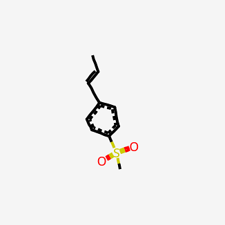 CC=Cc1ccc(S(C)(=O)=O)cc1